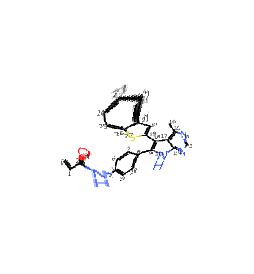 C=CC(=O)Nc1ccc(-c2[nH]c3ncnc(C)c3c2-c2cc3ccccc3s2)cc1